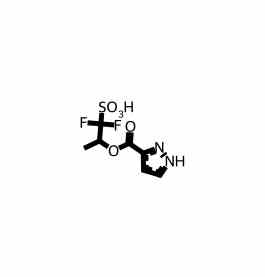 CC(OC(=O)c1cc[nH]n1)C(F)(F)S(=O)(=O)O